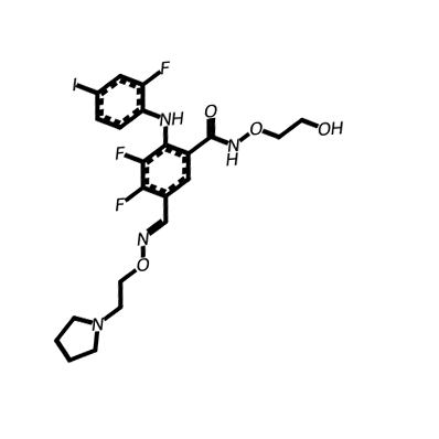 O=C(NOCCO)c1cc(C=NOCCN2CCCC2)c(F)c(F)c1Nc1ccc(I)cc1F